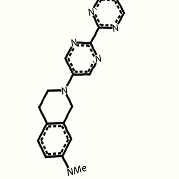 CNc1ccc2c(c1)CN(c1cnc(-c3ncccn3)nc1)CC2